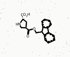 O=C(OCC1c2ccccc2-c2ccccc21)C1CN[C@H](C(=O)O)C1